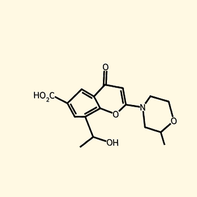 CC1CN(c2cc(=O)c3cc(C(=O)O)cc(C(C)O)c3o2)CCO1